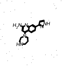 Nc1cc(N2CCCNCC2)c2ccc(-c3cc[nH]n3)cc2n1